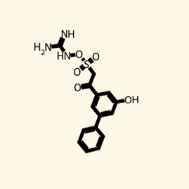 N=C(N)NOS(=O)(=O)CC(=O)c1cc(O)cc(-c2ccccc2)c1